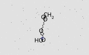 C=CC(=O)OCCCCCCCCOc1ccc(/C=C/C(=O)O)cc1